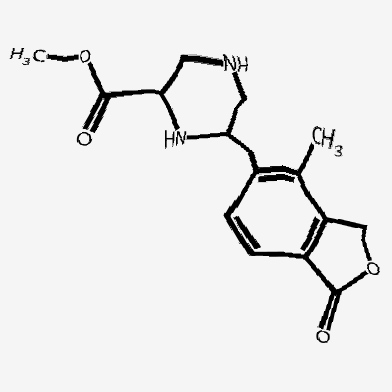 COC(=O)C1CNCC(c2ccc3c(c2C)COC3=O)N1